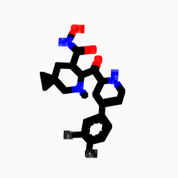 CCc1cc(C2=CCNC(C(=O)C3C(C(=O)NO)CC4(CC4)CN3C)C2)ccc1C#N